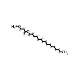 CCCCCCCCCCCCCCCCOC(=O)CCOP